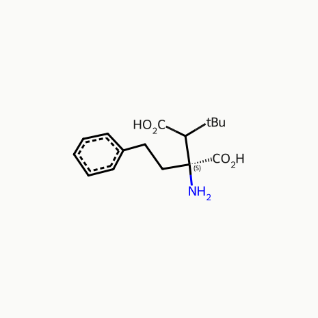 CC(C)(C)C(C(=O)O)[C@@](N)(CCc1ccccc1)C(=O)O